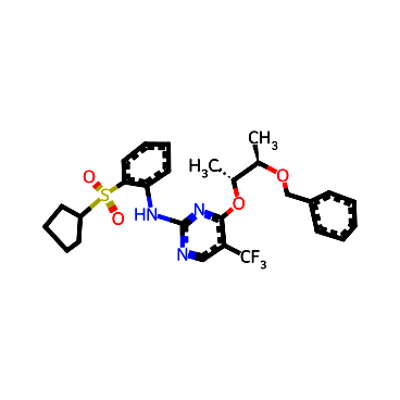 C[C@@H](OCc1ccccc1)[C@@H](C)Oc1nc(Nc2ccccc2S(=O)(=O)C2CCCC2)ncc1C(F)(F)F